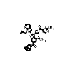 COc1cc(C(=O)N2CC3CC4CC2[C@H]43)cc2nc(-c3cc4cccnc4n3CC3CC3)n(C3CN(C(=O)c4ccnc(C)n4)C3)c12